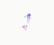 O=C(CCc1ccc(N2CC(=O)NC(c3cc(Cl)ccc3-n3cnnn3)C2=O)cc1)Nc1ccccc1C(=O)O